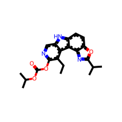 CCc1c(OC(=O)OC(C)C)ncc2[nH]c3ccc4oc(C(C)C)nc4c3c12